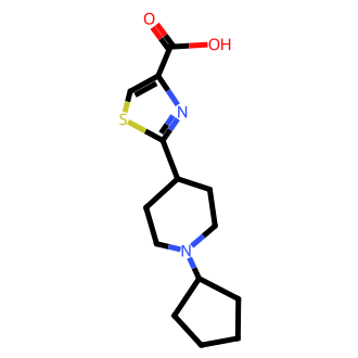 O=C(O)c1csc(C2CCN(C3CCCC3)CC2)n1